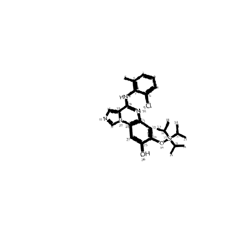 Cc1cccc(Cl)c1Nc1nc2cc(O[Si](C(C)C)(C(C)C)C(C)C)c(O)cc2n2cncc12